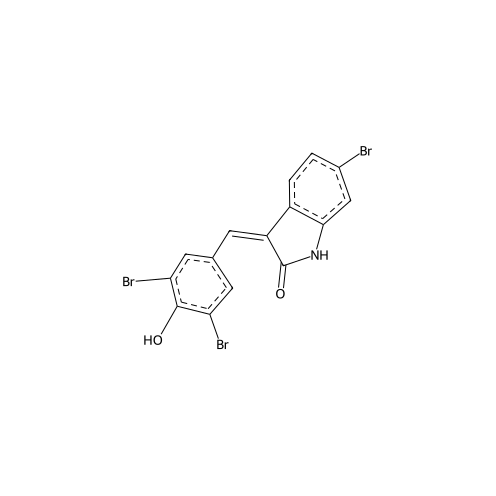 O=C1Nc2cc(Br)ccc2/C1=C/c1cc(Br)c(O)c(Br)c1